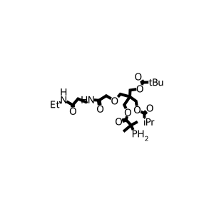 CCNC(=O)CCNC(=O)COCC(COC(=O)C(C)C)(COC(=O)C(C)(C)C)COC(=O)C(C)(C)P